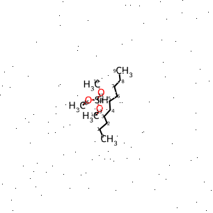 CCCCCCCCCC.CO[SiH](OC)OC